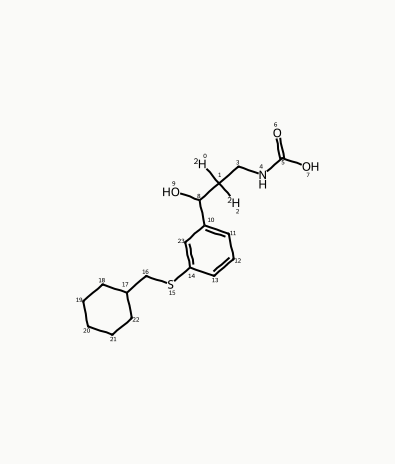 [2H]C([2H])(CNC(=O)O)C(O)c1cccc(SCC2CCCCC2)c1